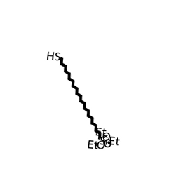 CCO[Si](CCCCCCCCCCCCCCCCCCCCCCS)(OCC)OCC